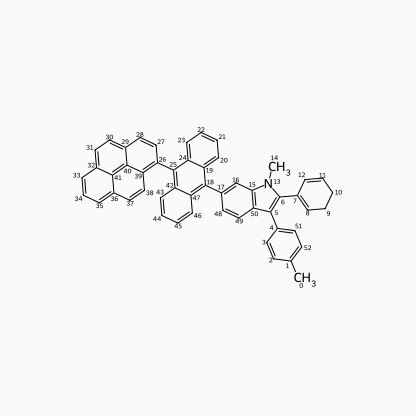 Cc1ccc(-c2c(C3=CCCC=C3)n(C)c3cc(-c4c5ccccc5c(-c5ccc6ccc7cccc8ccc5c6c78)c5ccccc45)ccc23)cc1